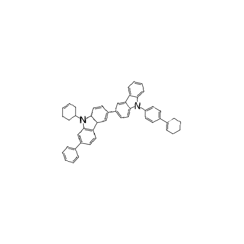 C1=CCC(N2c3cc(-c4ccccc4)ccc3C3C=C(c4ccc5c(c4)c4ccccc4n5-c4ccc(C5=CCCCC5)cc4)C=CC32)CC1